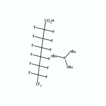 CCCCP(CCCC)CCCC.O=C(O)C(F)(F)C(F)(F)C(F)(F)C(F)(F)C(F)(F)C(F)(F)C(F)(F)F